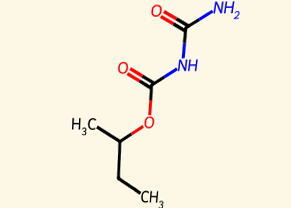 CCC(C)OC(=O)NC(N)=O